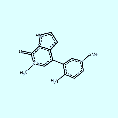 CSc1ccc(N)c(-c2cn(C)c(=O)c3[nH]ccc23)c1